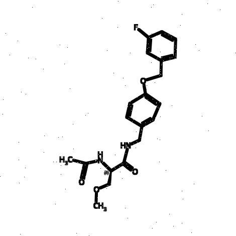 COC[C@@H](NC(C)=O)C(=O)NCc1ccc(OCc2cccc(F)c2)cc1